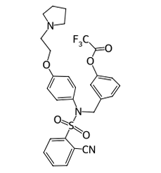 N#Cc1ccccc1S(=O)(=O)N(Cc1cccc(OC(=O)C(F)(F)F)c1)c1ccc(OCCN2CCCC2)cc1